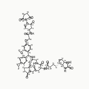 COc1ccc(C(NC(=O)CNC(=O)C(CC(=O)CN2C(=O)CCC2=O)NC(=O)CCC[C@@H]2SCC3NC(=O)NC32)c2ccc(OCC(=O)NC(C=O)CC(=O)ON3C(=O)CCC3=O)cc2)c(OC)c1